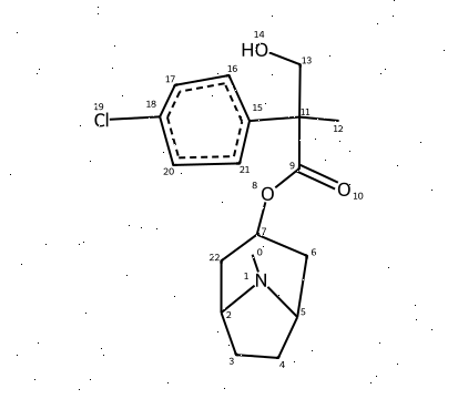 CN1C2CCC1CC(OC(=O)C(C)(CO)c1ccc(Cl)cc1)C2